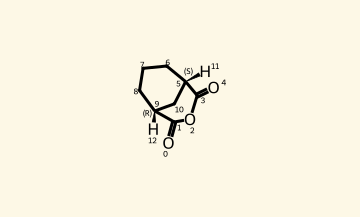 O=C1OC(=O)[C@H]2CCC[C@@H]1C2